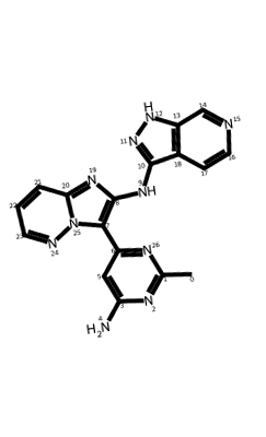 Cc1nc(N)cc(-c2c(Nc3n[nH]c4cnccc34)nc3cccnn23)n1